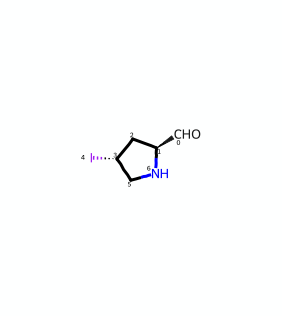 O=C[C@@H]1C[C@@H](I)CN1